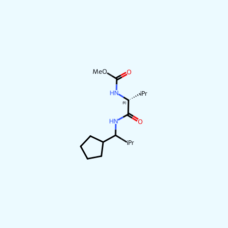 COC(=O)N[C@@H](C(=O)NC(C(C)C)C1CCCC1)C(C)C